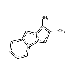 Cc1cc2n(cc3ccccn32)c1N